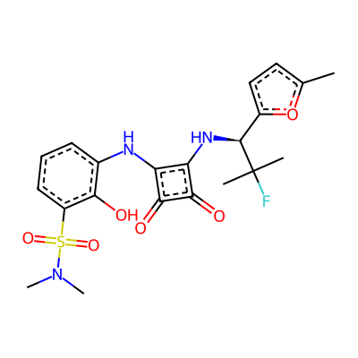 Cc1ccc([C@H](Nc2c(Nc3cccc(S(=O)(=O)N(C)C)c3O)c(=O)c2=O)C(C)(C)F)o1